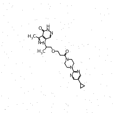 Cc1nn(C(C)COCCC(=O)N2CCN(c3ncc(C4CC4)cn3)CC2)c2cn[nH]c(=O)c12